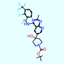 Cc1nc(N[C@H](C)c2cccc(C(F)(F)F)c2F)c2cc(C3(O)CCN(C(=O)OC(C)(C)C)CC3)cnc2n1